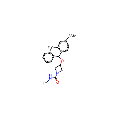 CSc1ccc(C(OC2CN(C(=O)NC(C)C)C2)c2ccccc2)c(C(F)(F)F)c1